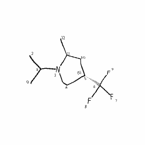 CC(C)N1C[C@@H](C(F)(F)F)CC1C